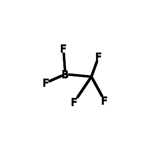 FB(F)C(F)(F)F